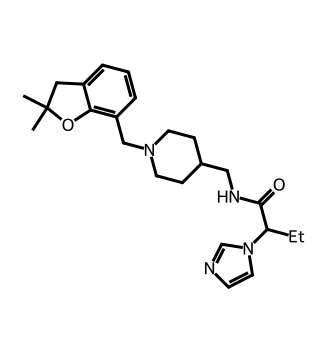 CCC(C(=O)NCC1CCN(Cc2cccc3c2OC(C)(C)C3)CC1)n1ccnc1